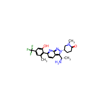 Cc1cc(C(F)(F)F)cc(O)c1-c1ccc2c([C@H](C)N)n([C@H]3CCC(=O)N(C)C3)nc2n1